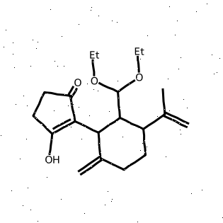 C=C(C)C1CCC(=C)C(C2=C(O)CCC2=O)C1C(OCC)OCC